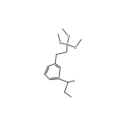 CCC(I)c1cccc(CC[Si](OC)(OC)OC)c1